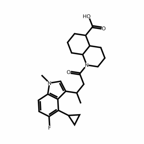 CC(CC(=O)N1CCCC2C(C(=O)O)CCCC21)c1cn(C)c2ccc(F)c(C3CC3)c12